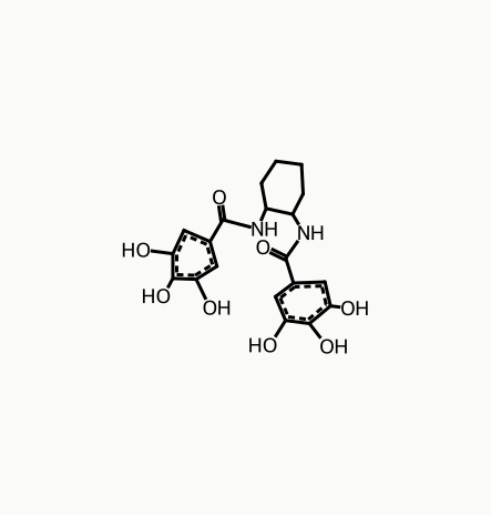 O=C(NC1CCCCC1NC(=O)c1cc(O)c(O)c(O)c1)c1cc(O)c(O)c(O)c1